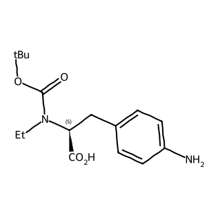 CCN(C(=O)OC(C)(C)C)[C@@H](Cc1ccc(N)cc1)C(=O)O